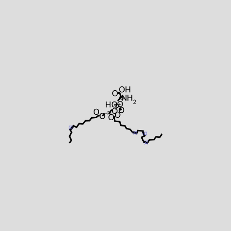 CCCC/C=C\CCCCCCCC(=O)OC[C@H](COP(=O)(O)OC[C@H](N)C(=O)O)OC(=O)CCCCCC/C=C\C/C=C\C/C=C\CCCCC